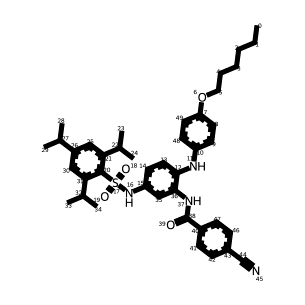 CCCCCCOc1ccc(Nc2ccc(NS(=O)(=O)c3c(C(C)C)cc(C(C)C)cc3C(C)C)cc2NC(=O)c2ccc(C#N)cc2)cc1